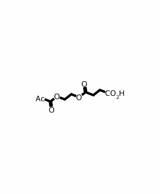 CC(=O)C(=O)OCCOC(=O)CCC(=O)O